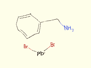 NCc1ccccc1.[Br][Pb][Br]